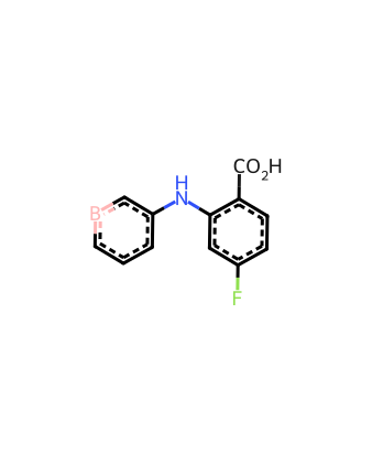 O=C(O)c1ccc(F)cc1Nc1cbccc1